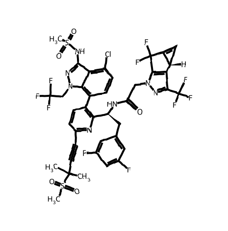 CC(C)(C#Cc1ccc(-c2ccc(Cl)c3c(NS(C)(=O)=O)nn(CC(F)(F)F)c23)c([C@H](Cc2cc(F)cc(F)c2)NC(=O)Cn2nc(C(F)(F)F)c3c2C(F)(F)C2=C[C@@H]23)n1)S(C)(=O)=O